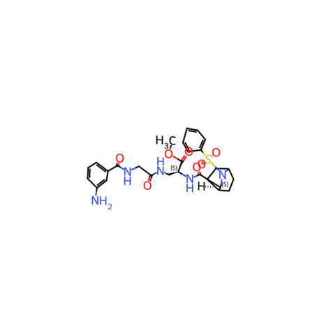 COC(=O)[C@H](CNC(=O)CNC(=O)c1cccc(N)c1)NC(=O)[C@@H]1C2CCC(CC2)N1S(=O)(=O)c1ccccc1